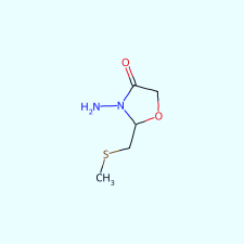 CSCC1OCC(=O)N1N